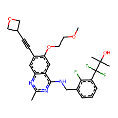 COCCOc1cc2c(NCc3cccc(C(F)(F)C(C)(C)O)c3F)nc(C)nc2cc1C#CC1COC1